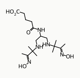 CC(=NO)C(C)(C)NCC(CNC(C)(C)C(C)=NO)NC(=O)CCCC(=O)O